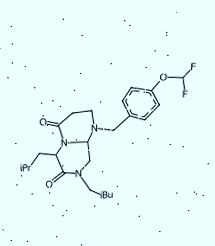 CCC(C)CN1CC2N(Cc3ccc(OC(F)F)cc3)CCC(=O)N2C(CC(C)C)C1=O